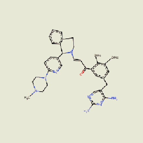 COc1cc(Cc2cnc(N)nc2N)cc(C(=O)/C=C/N2CCc3ccccc3C2c2ccc(N3CCN(C)CC3)nc2)c1OC